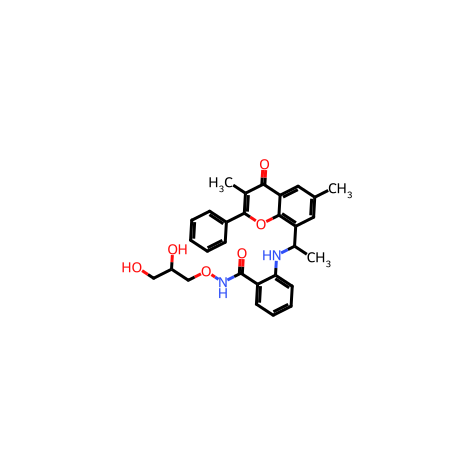 Cc1cc(C(C)Nc2ccccc2C(=O)NOCC(O)CO)c2oc(-c3ccccc3)c(C)c(=O)c2c1